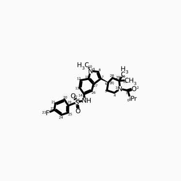 CC(C)C(=O)N1CC[C@@H](c2cn(C)c3ccc(NS(=O)(=O)c4ccc(F)cc4)cc23)CC1(C)C